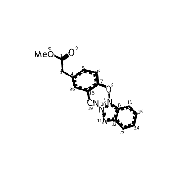 COC(=O)Cc1ccc(On2nnc3ccccc32)c(C#N)c1